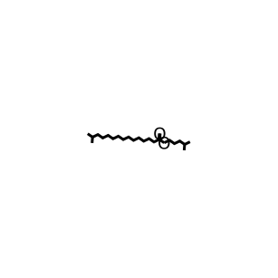 CC(C)CCCCCCCCCCCCC(=O)OCCCC(C)C